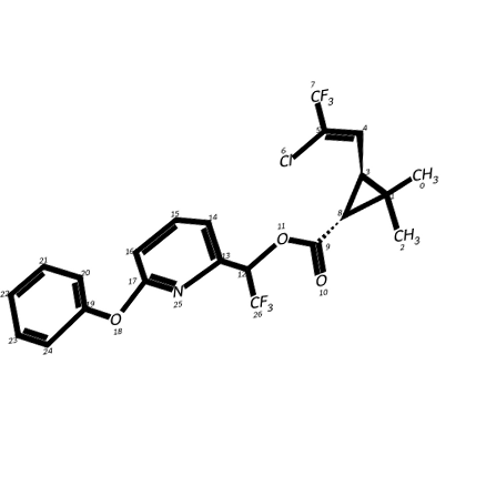 CC1(C)[C@H](C=C(Cl)C(F)(F)F)[C@H]1C(=O)OC(c1cccc(Oc2ccccc2)n1)C(F)(F)F